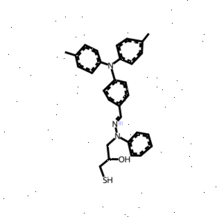 Cc1ccc(N(c2ccc(C)cc2)c2ccc(/C=N/N(CC(O)CS)c3ccccc3)cc2)cc1